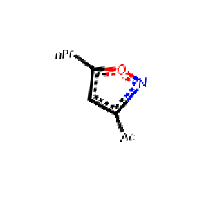 CCCc1cc(C(C)=O)no1